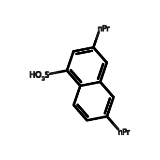 CCCc1ccc2c(S(=O)(=O)O)cc(CCC)cc2c1